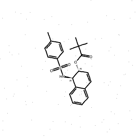 Cc1ccc(S(=O)(=O)N[C@@H]2c3ccccc3C=C[C@H]2OC(=O)C(C)(C)C)cc1